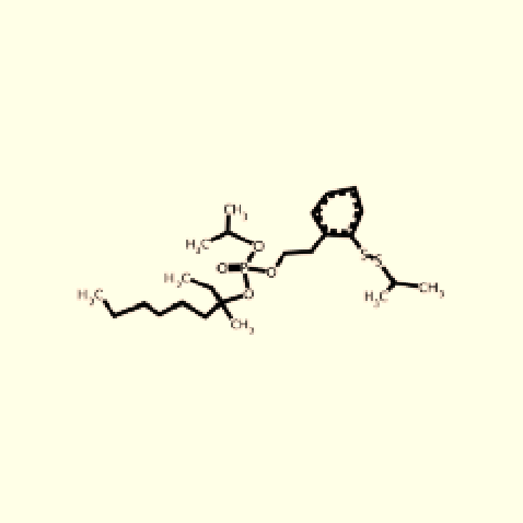 CCCCCCC(C)(CC)OP(=O)(OCCc1ccccc1SSC(C)C)OC(C)C